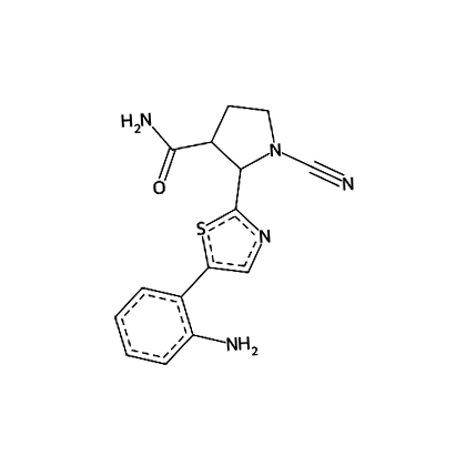 N#CN1CCC(C(N)=O)C1c1ncc(-c2ccccc2N)s1